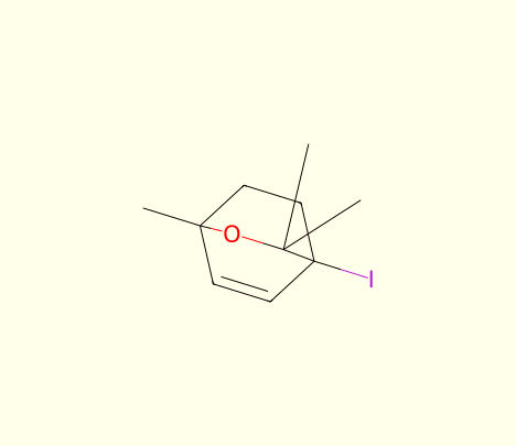 CC12C=CC(I)(CC1)C(C)(C)O2